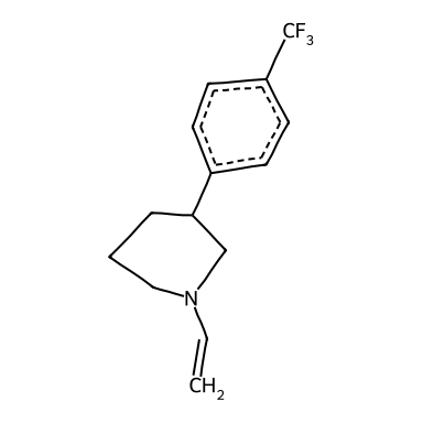 C=CN1CCCC(c2ccc(C(F)(F)F)cc2)C1